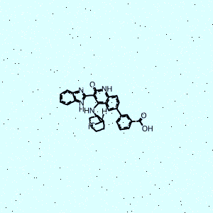 O=C(O)c1cccc(-c2ccc3[nH]c(=O)c(-c4nc5ccccc5[nH]4)c(N[C@H]4CN5CCC4CC5)c3c2)c1